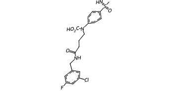 CS(=N)(=O)c1ccc(N(CCCC(=O)NCc2cc(F)cc(Cl)c2)C(=O)O)cc1